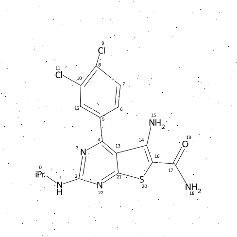 CC(C)Nc1nc(-c2ccc(Cl)c(Cl)c2)c2c(N)c(C(N)=O)sc2n1